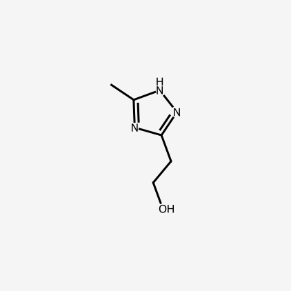 Cc1nc(CCO)n[nH]1